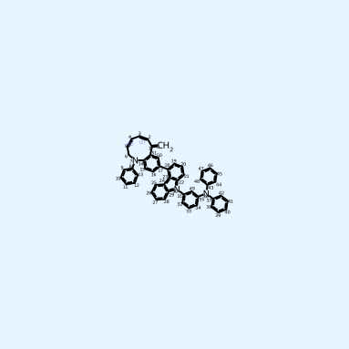 C=C1/C=C\C=C/CN(c2ccccc2)c2ccc(-c3cccc4c3c3ccccc3n4-c3cccc(N(c4ccccc4)c4ccccc4)c3)cc21